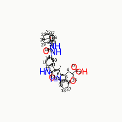 O=C(O)CCc1c(C=C2C(=O)Nc3ccc(NC(=O)NC45CC6CC(CC(C6)C4)C5)cc32)[nH]c2c1C(=O)CCC2